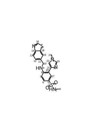 CNS(=O)(=O)c1ccc(NCc2ccc3ncsc3c2)c(-c2cn(C)cn2)c1